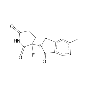 Cc1ccc2c(c1)CN(C1(F)CCC(=O)NC1=O)C2=O